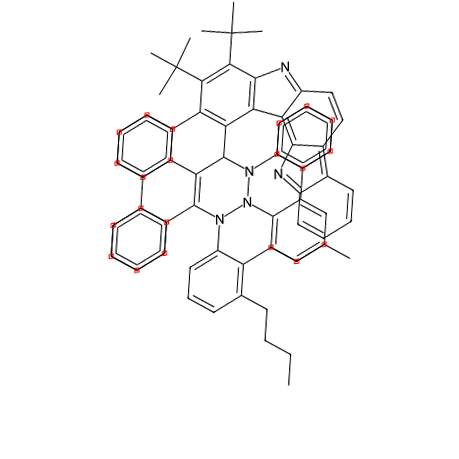 CCCCc1cccc(N2C(c3ccccc3)=C(c3ccccc3-c3ccccc3)C(c3c4c(c(C(C)(C)C)c(C(C)(C)C)c3-c3ccccc3)N=c3ccc5c(c3-4)N=c3ccccc3=5)N(c3ccccc3)N2c2ccccc2-c2ccccc2)c1CCCC